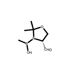 CB(O)N1[C@@H](C=O)COC1(C)C